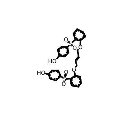 O=S(=O)(c1ccc(O)cc1)c1ccccc1OC/C=C/COc1ccccc1S(=O)(=O)c1ccc(O)cc1